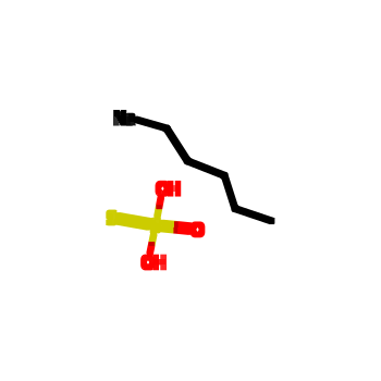 CCCC[CH2][Na].O=S(O)(O)=S